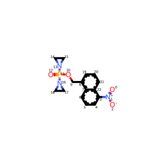 O=[N+]([O-])c1cccc2c(COP(=O)(N3CC3)N3CC3)cccc12